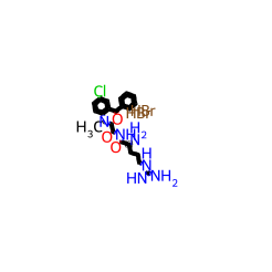 Br.Br.CN(CC(=O)NC(=O)[C@@H](N)CCCNC(=N)N)c1ccc(Cl)cc1C(=O)c1ccccc1